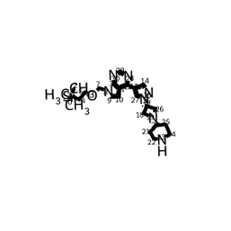 C[Si](C)(C)CCOCn1ccc2c(-c3cnn([C]4CN(C5CCNCC5)C4)c3)ncnc21